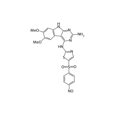 COc1cc2[nH]c3nc(N)nc(Nc4ncc(S(=O)(=O)c5ccc(N=O)cc5)s4)c3c2cc1OC